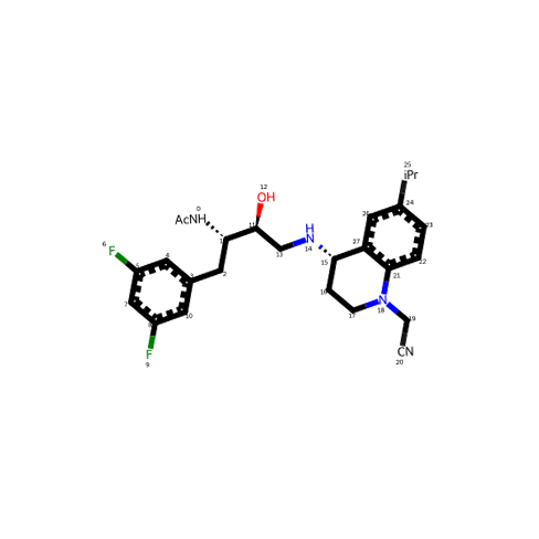 CC(=O)N[C@@H](Cc1cc(F)cc(F)c1)[C@@H](O)CN[C@H]1CCN(CC#N)c2ccc(C(C)C)cc21